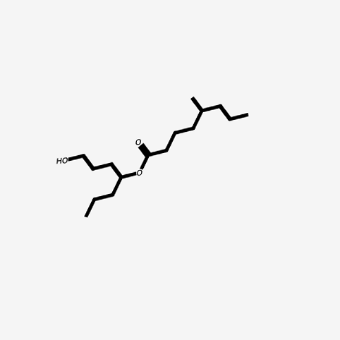 CCCC(C)CCCC(=O)OC(CCC)CCCO